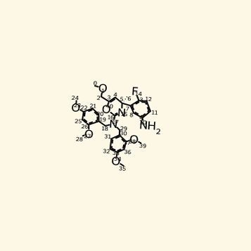 COCC1=C[C@@](C)(c2cc(N)ccc2F)N=C(N(Cc2ccc(OC)cc2OC)Cc2ccc(OC)cc2OC)O1